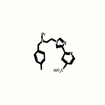 Cc1ccc(CN(CCn2cnc(-c3cc(C(=O)O)ccn3)c2)C(C)C)cc1